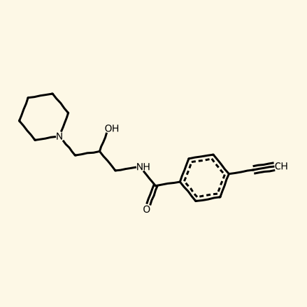 C#Cc1ccc(C(=O)NCC(O)CN2CCCCC2)cc1